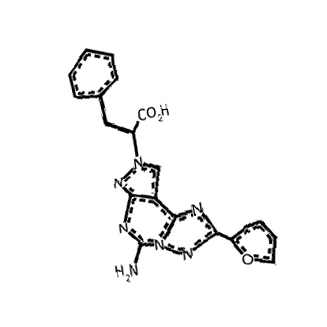 Nc1nc2nn(C(Cc3ccccc3)C(=O)O)cc2c2nc(-c3ccco3)nn12